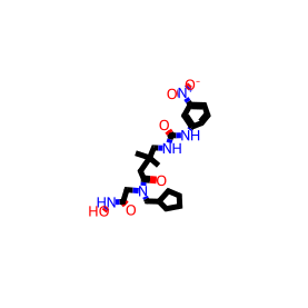 CC(C)(CNC(=O)Nc1cccc([N+](=O)[O-])c1)CC(=O)N(CC(=O)NO)CC1CCCC1